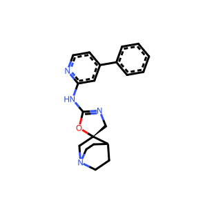 c1ccc(-c2ccnc(NC3=NC[C@@]4(CN5CCC4CC5)O3)c2)cc1